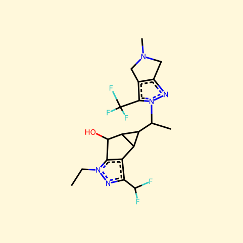 CCn1nc(C(F)F)c2c1C(O)C1C2C1C(C)n1nc2c(c1C(F)(F)F)CN(C)C2